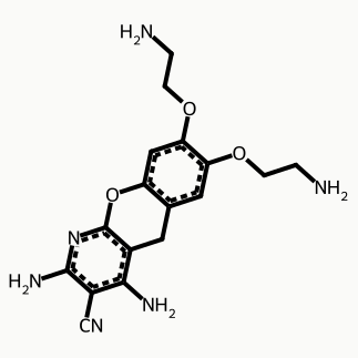 N#Cc1c(N)nc2c(c1N)Cc1cc(OCCN)c(OCCN)cc1O2